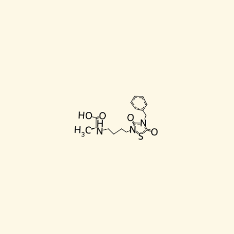 C[C@H](NCCCCn1sc(=O)n(Cc2ccccc2)c1=O)C(=O)O